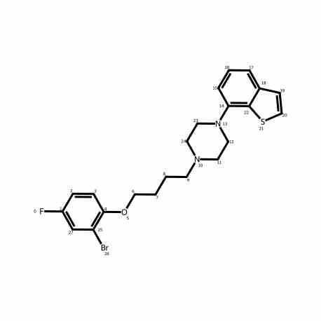 Fc1ccc(OCCCCN2CCN(c3cccc4ccsc34)CC2)c(Br)c1